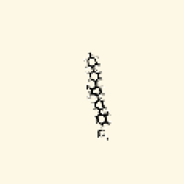 BCOc1ccc(-c2ccc(-c3ccc(C4CCC(C5CCC(C)CC5)CC4)c(F)c3F)cc2)c(F)c1F